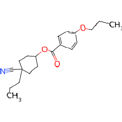 CCCOc1ccc(C(=O)OC2CCC(C#N)(CCC)CC2)cc1